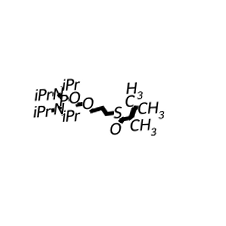 CC(C)=C(C)C(=O)SCCCOCOP(N(C(C)C)C(C)C)N(C(C)C)C(C)C